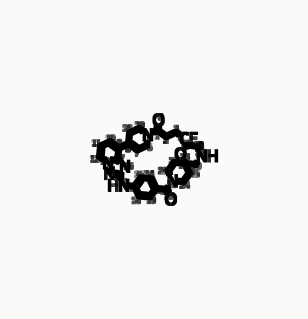 O=C(CCC(F)(F)F)N1CC=C(c2cccn3nc(Nc4ccc(C(=O)N5CCC6(CC5)CNCCO6)cc4)nc23)CC1